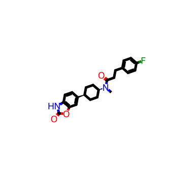 CN(C(=O)CCc1ccc(F)cc1)[C@H]1CC[C@H](c2ccc3[nH]c(=O)oc3c2)CC1